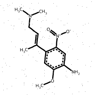 COc1cc(/C(C)=C/CN(C)C)c([N+](=O)[O-])cc1N